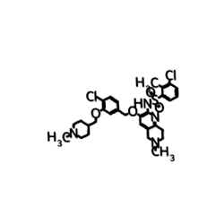 Cc1c(Cl)cccc1S(=O)(=O)Nc1nc2c(cc1OCc1ccc(Cl)c(OCC3CCN(C)CC3)c1)CN(C)CC2